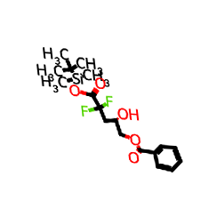 CC(C)(C)[Si](C)(C)OC(=O)C(F)(F)C[C@H](O)COC(=O)c1ccccc1